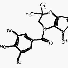 Cn1ncc2c1N(C(=O)c1cc(Br)c(O)c(Br)c1)CC(C)(C)O2